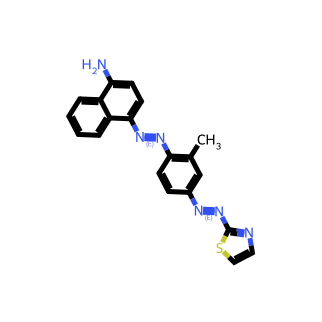 Cc1cc(/N=N/c2nccs2)ccc1/N=N/c1ccc(N)c2ccccc12